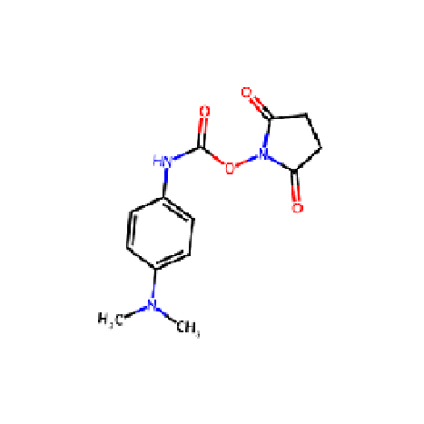 CN(C)c1ccc(NC(=O)ON2C(=O)CCC2=O)cc1